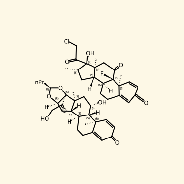 CCC[C@@H]1O[C@@H]2C[C@H]3[C@@H]4CCC5=CC(=O)C=C[C@]5(C)[C@H]4[C@@H](O)C[C@]3(C)[C@]2(C(=O)CO)O1.C[C@H]1C[C@H]2[C@@H]3CCC4=CC(=O)C=C[C@]4(C)[C@@]3(F)C(=O)C[C@]2(C)[C@@]1(O)C(=O)CCl